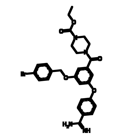 CCOC(=O)N1CCN(C(=O)c2cc(OCc3ccc(Br)cc3)cc(Oc3ccc(C(=N)N)cc3)c2)CC1